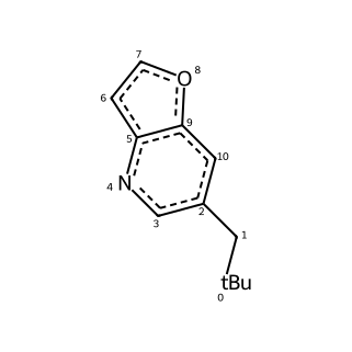 CC(C)(C)Cc1cnc2ccoc2c1